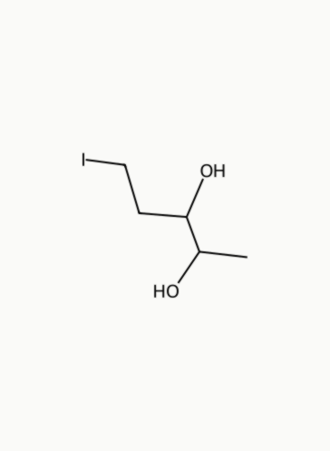 CC(O)C(O)CCI